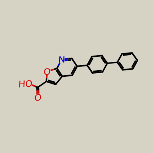 O=C(O)c1cc2cc(-c3ccc(-c4ccccc4)cc3)cnc2o1